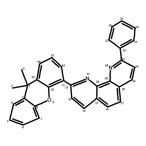 CC1(C)c2ccccc2Oc2c(-c3ccc4ccc5ccc(-c6ccccc6)nc5c4n3)cccc21